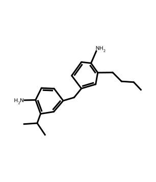 CCCCc1cc(Cc2ccc(N)c(C(C)C)c2)ccc1N